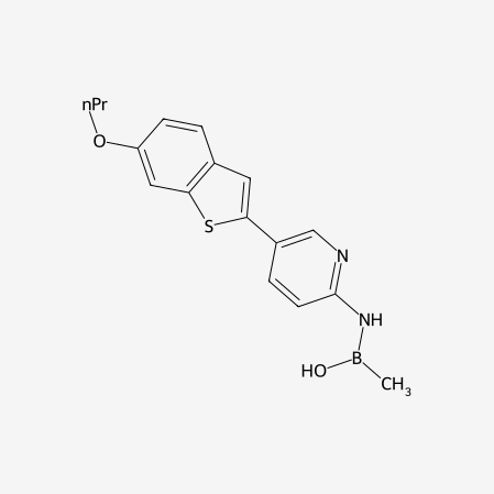 CCCOc1ccc2cc(-c3ccc(NB(C)O)nc3)sc2c1